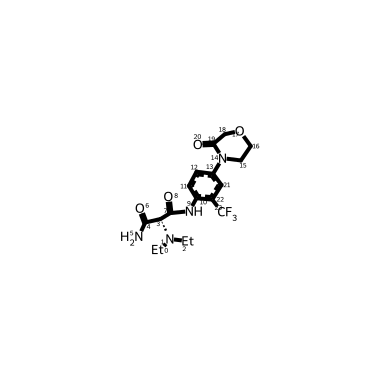 CCN(CC)[C@H](C(N)=O)C(=O)Nc1ccc(N2CCOCC2=O)cc1C(F)(F)F